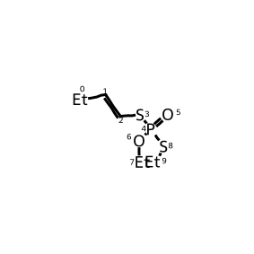 CC/C=C/SP(=O)(OCC)SCC